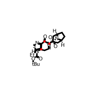 CCc1cc(C(=O)N[C@H]2C[C@H]3CC[C@@H](C2)N3S(=O)(=O)N2CCC(NC(=O)OC(C)(C)C)CC2)ns1